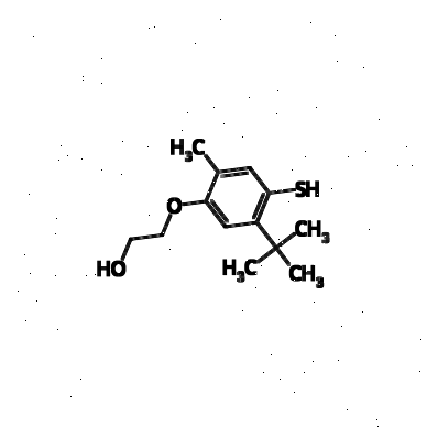 Cc1cc(S)c(C(C)(C)C)cc1OCCO